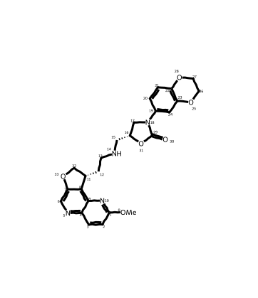 COc1ccc2ncc3c(c2n1)[C@@H](CCNC[C@@H]1CN(c2ccc4c(c2)OCCO4)C(=O)O1)CO3